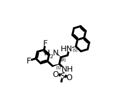 CS(=O)(=O)N[C@@H](Cc1cc(F)cc(F)c1)[C@H](N)CN[C@H]1CCC=C2C=CCC=C21